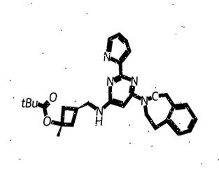 CC(C)(C)C(=O)O[C@]1(C)C[C@@H](CNc2cc(N3CCc4ccccc4CC3)nc(-c3ccccn3)n2)C1